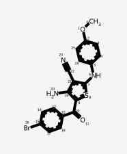 COc1ccc(Nc2sc(C(=O)c3ccc(Br)cc3)c(N)c2C#N)cc1